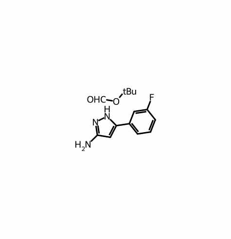 CC(C)(C)OC=O.Nc1cc(-c2cccc(F)c2)[nH]n1